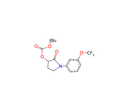 CC(C)(C)OC(=O)OC1CCN(c2cccc(OC(F)(F)F)c2)C1=O